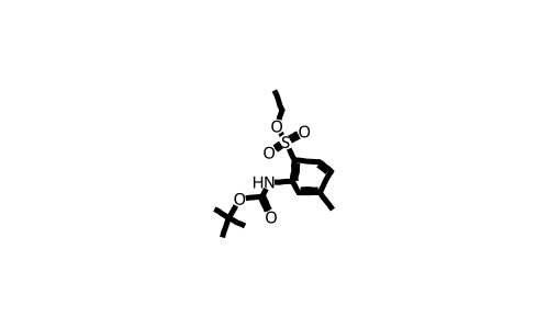 CCOS(=O)(=O)c1ccc(C)cc1NC(=O)OC(C)(C)C